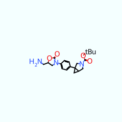 CC(C)(C)OC(=O)N1CC2CC2(c2ccc(N3CC(CN)OC3=O)cc2)C1